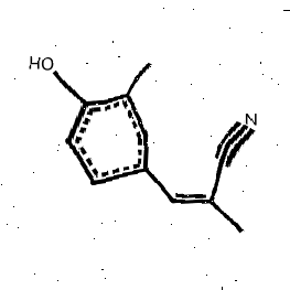 C/C(C#N)=C/c1ccc(O)c(C)c1